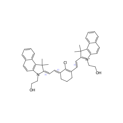 CC1(C)C(/C=C/C2=C(Cl)C(=C/C=C3/N(CCO)c4ccc5ccccc5c4C3(C)C)/CCC2)=[N+](CCO)c2ccc3ccccc3c21